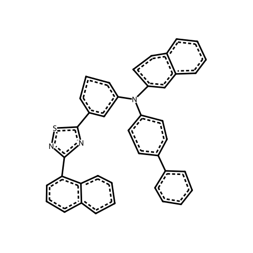 c1ccc(-c2ccc(N(c3cccc(-c4nc(-c5cccc6ccccc56)ns4)c3)c3ccc4ccccc4c3)cc2)cc1